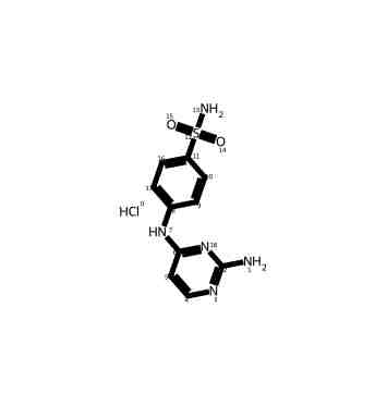 Cl.Nc1nccc(Nc2ccc(S(N)(=O)=O)cc2)n1